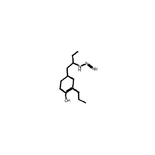 CCCC1=C(O)CCC(CC(CC)NN=N)C1